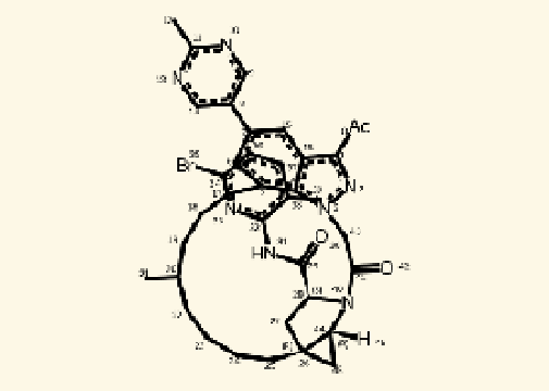 CC(=O)c1nn2c3c(cc(-c4cnc(C)nc4)cc13)CCCC(C)CCCC[C@@]13C[C@@H](C(=O)Nc4nc(Br)ccc4C)N(C(=O)C2)[C@@H]1C3